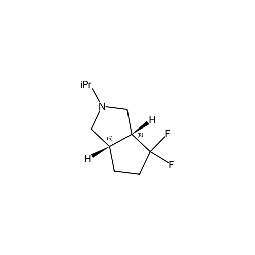 CC(C)N1C[C@H]2CCC(F)(F)[C@H]2C1